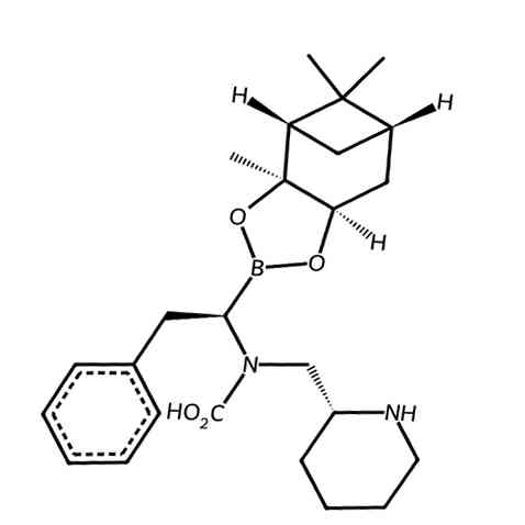 CC1(C)[C@@H]2C[C@H]3OB([C@H](Cc4ccccc4)N(C[C@H]4CCCCN4)C(=O)O)O[C@@]3(C)[C@H]1C2